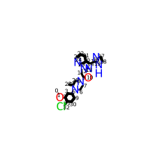 COc1cc(N2CCN(C(=O)Cn3nc(-c4ncc[nH]4)c4cccnc43)CC2C)ccc1Cl